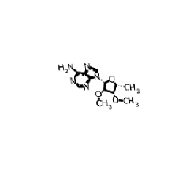 CO[C@@H]1[C@H](OC)[C@@H](C)O[C@H]1n1cnc2c(N)ncnc21